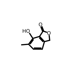 Cc1ccc2c(c1O)C(=O)OC2